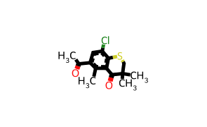 CC(=O)c1cc(Cl)c2c(c1C)C(=O)C(C)(C)CS2